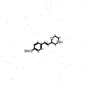 CSc1ccc(/C=C/C2CNCCO2)cc1